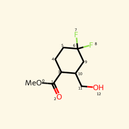 COC(=O)C1CCC(F)(F)CC1CO